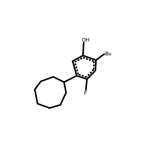 CCC(C)c1cc(F)c(C2CCCCCCC2)cc1O